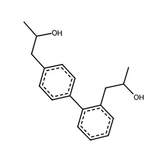 CC(O)Cc1ccc(-c2ccccc2CC(C)O)cc1